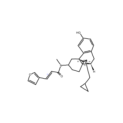 CN(C(=O)/C=C/c1ccoc1)C1CC[C@@]2(O)[C@H]3Cc4ccc(O)cc4[C@@]2(CCN3CC2CC2)C1